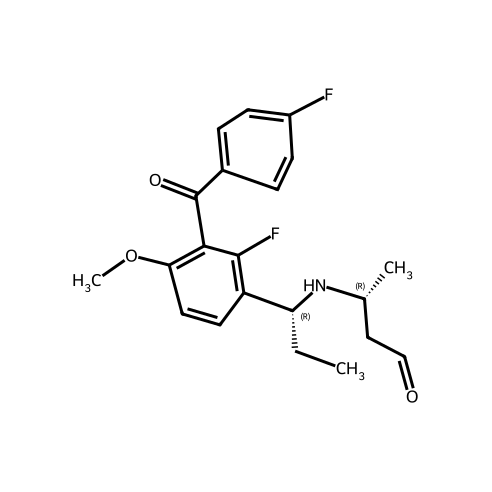 CC[C@@H](N[C@H](C)CC=O)c1ccc(OC)c(C(=O)c2ccc(F)cc2)c1F